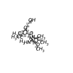 CCOc1nn2c(=N)n(CC(=O)c3cc(OCCCO)cc(C(C)(C)C)c3)nc2c(C)c1CC